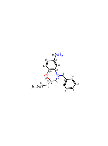 CC(=O)NC[C@H]1CN(Cc2ccccc2)c2cc(N)ccc2O1